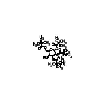 CC(C)(C)C(=O)OCC1OC(OC(=O)C(C)(C)C)C(OC(=O)C(C)(C)C)C(OC(=O)C(C)(C)C)C1O